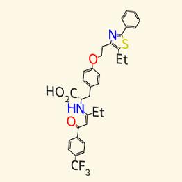 CCC(=CC(=O)c1ccc(C(F)(F)F)cc1)N[C@@H](Cc1ccc(OCCc2nc(-c3ccccc3)sc2CC)cc1)C(=O)O